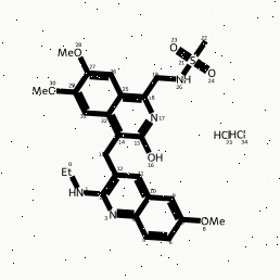 CCNc1nc2ccc(OC)cc2cc1Cc1c(O)nc(CNS(C)(=O)=O)c2cc(OC)c(OC)cc12.Cl.Cl